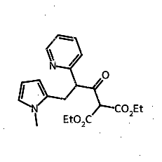 CCOC(=O)C(C(=O)OCC)C(=O)C(Cc1cccn1C)c1ccccn1